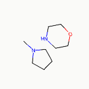 C1COCCN1.CN1CCCC1